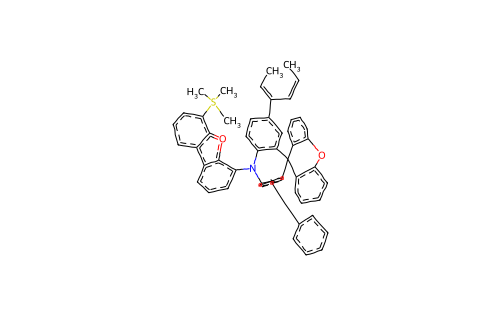 C/C=C\C(=C/C)c1ccc2c(c1)C1(c3ccccc3Oc3ccccc31)c1cc(-c3ccccc3)ccc1N2c1cccc2c1oc1c(S(C)(C)C)cccc12